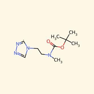 CN(CCn1[c]nnc1)C(=O)OC(C)(C)C